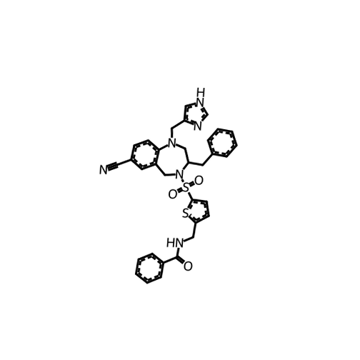 N#Cc1ccc2c(c1)CN(S(=O)(=O)c1ccc(CNC(=O)c3ccccc3)s1)C(Cc1ccccc1)CN2Cc1c[nH]cn1